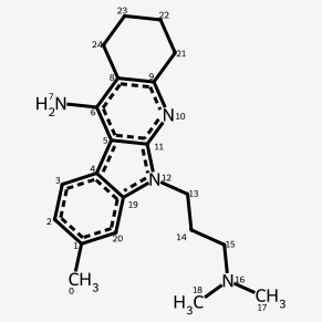 Cc1ccc2c3c(N)c4c(nc3n(CCCN(C)C)c2c1)CCCC4